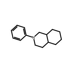 c1ccc(N2CCC3CCCCC3C2)cc1